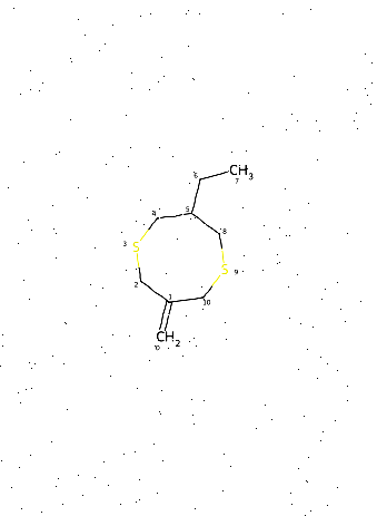 C=C1CSCC(CC)CSC1